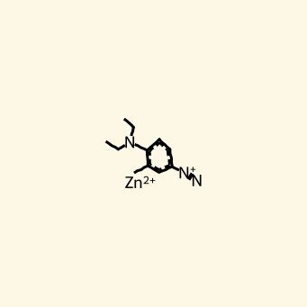 CCN(CC)c1ccc([N+]#N)cc1C.[Zn+2]